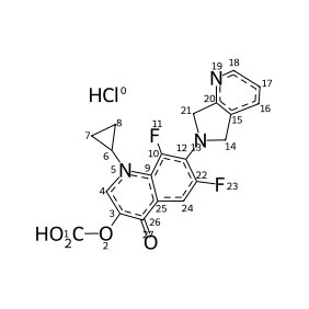 Cl.O=C(O)Oc1cn(C2CC2)c2c(F)c(N3Cc4cccnc4C3)c(F)cc2c1=O